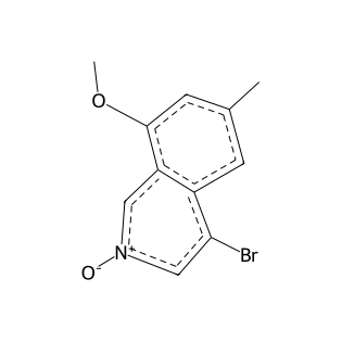 COc1cc(C)cc2c(Br)c[n+]([O-])cc12